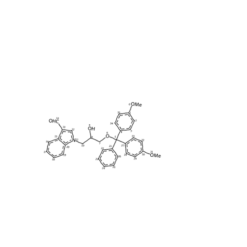 COc1ccc(C(OCC(O)Cn2cc(C=O)c3ccccc32)(c2ccccc2)c2ccc(OC)cc2)cc1